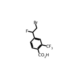 O=C(O)c1ccc(C(F)CBr)cc1C(F)(F)F